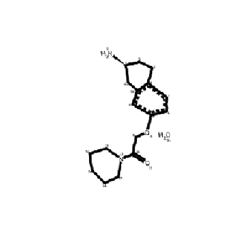 N[C@H]1CCc2ccc(OCC(=O)N3CCCCC3)cc2C1.O